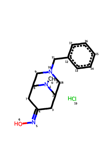 CN1C2CC(=NO)CC1CN(Cc1ccccc1)C2.Cl